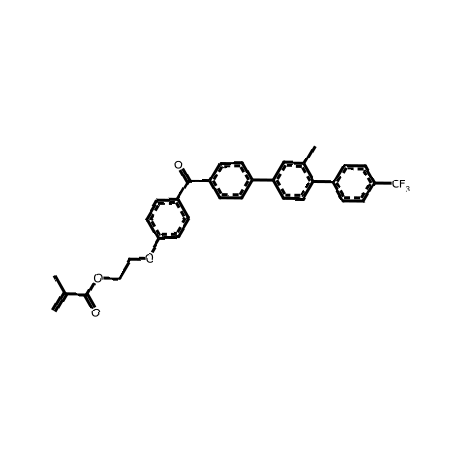 C=C(C)C(=O)OCCOc1ccc(C(=O)c2ccc(-c3ccc(-c4ccc(C(F)(F)F)cc4)c(C)c3)cc2)cc1